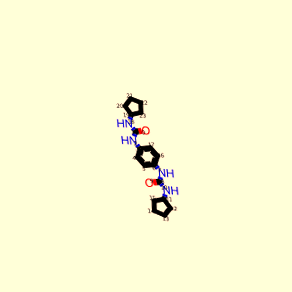 O=C(Nc1ccc(NC(=O)NC2CCCC2)cc1)NC1CCCC1